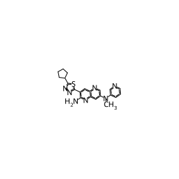 CN(c1cccnc1)c1cnc2cc(-c3nnc(C4CCCC4)s3)c(N)nc2c1